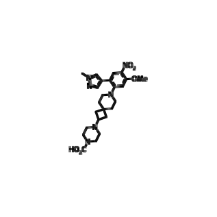 COc1cc(N2CCC3(CC2)CC(N2CCN(C(=O)O)CC2)C3)c(-c2cnn(C)c2)cc1[N+](=O)[O-]